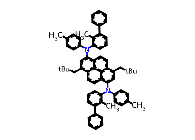 Cc1ccc(N(c2cccc(-c3ccccc3)c2C)c2cc(CC(C)(C)C)c3ccc4c(N(c5ccc(C)cc5)c5cccc(-c6ccccc6)c5C)cc(CC(C)(C)C)c5ccc2c3c54)cc1